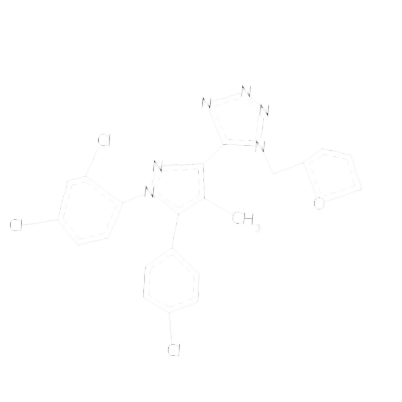 Cc1c(-c2nnnn2Cc2ccco2)nn(-c2ccc(Cl)cc2Cl)c1-c1ccc(Cl)cc1